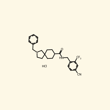 Cl.N#Cc1ccc(CNC(=O)C2CCC3(CC2)CCN(Cc2ccccc2)C3)c(C(F)(F)F)c1